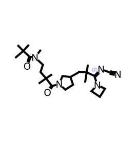 CN(CCC(C)(C)C(=O)N1CCC(CC(C)(C)/C(=N/C#N)N2CCC2)C1)C(=O)C(C)(C)C